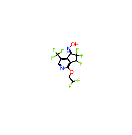 O/N=C1/c2c(C(F)(F)F)cnc(OCC(F)F)c2C(F)C1(F)F